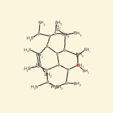 BBB(B)B(B(B(B)B)B(B)B)B(B(B(B)B)B(B)B)B(B(B(B)B)B(B)B)B(B(B)B)B(B)B